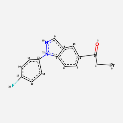 CC(C)CC(=O)c1ccc2c(cnn2-c2ccc(F)cc2)c1